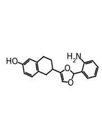 Nc1ccccc1C1OC=C(C2CCc3cc(O)ccc3C2)O1